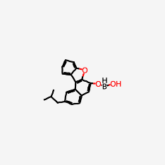 CC(C)Cc1ccc2cc(OBO)c3oc4ccccc4c3c2c1